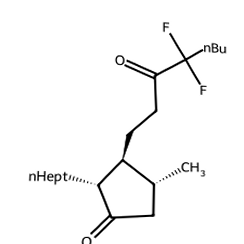 CCCCCCC[C@H]1C(=O)C[C@@H](C)[C@@H]1CCC(=O)C(F)(F)CCCC